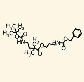 CC(C)(C)OC(=O)NCCC(C)(C)C(=O)OCCCNC(=O)OCc1ccccc1